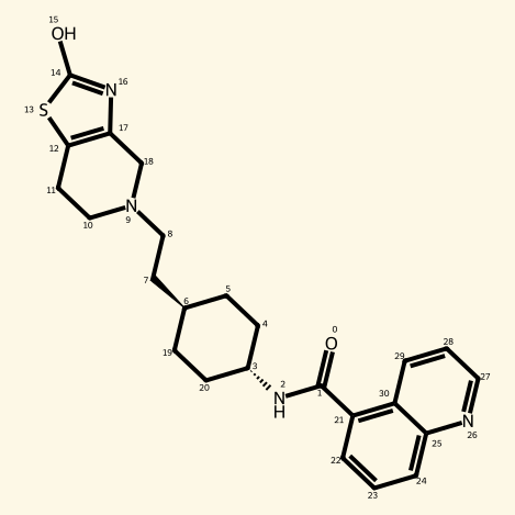 O=C(N[C@H]1CC[C@H](CCN2CCc3sc(O)nc3C2)CC1)c1cccc2ncccc12